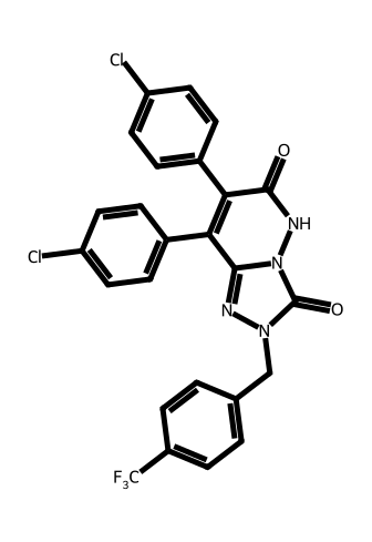 O=c1[nH]n2c(=O)n(Cc3ccc(C(F)(F)F)cc3)nc2c(-c2ccc(Cl)cc2)c1-c1ccc(Cl)cc1